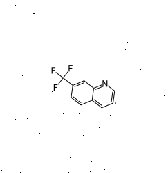 FC(F)(F)c1ccc2c[c]cnc2c1